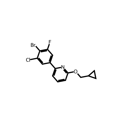 Fc1cc(-c2cccc(OCC3CC3)n2)cc(Cl)c1Br